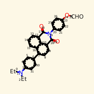 CCN(CC)c1ccc(-c2ccc3c4c(cccc24)C(=O)N(c2ccc(OC=O)cc2)C3=O)cc1